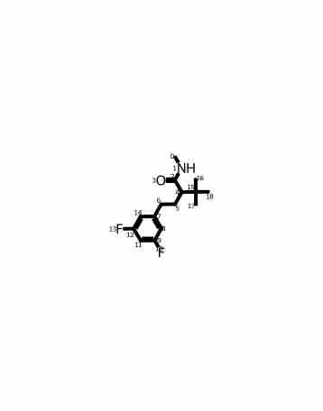 CNC(=O)C(CCc1cc(F)cc(F)c1)C(C)(C)C